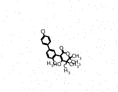 Cc1ccc(-c2ccc(Cl)cc2)cc1C1=C(O)C(C)(C)C(C)(C)OC1=O